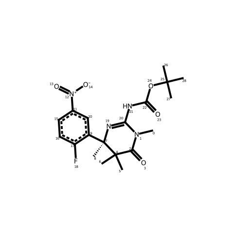 CN1C(=O)C(C)(C)[C@@](C)(c2cc([N+](=O)[O-])ccc2F)N=C1NC(=O)OC(C)(C)C